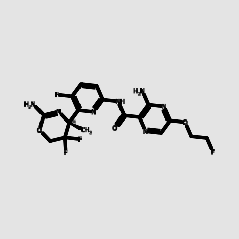 C[C@]1(c2nc(NC(=O)c3ncc(OCCF)nc3N)ccc2F)N=C(N)OCC1(F)F